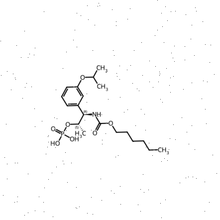 CCCCCCOC(=O)N[C@H](c1cccc(OC(C)C)c1)[C@H](C)OP(=O)(O)O